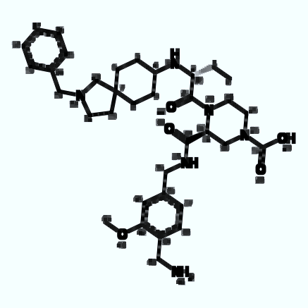 CC[C@@H](NC1CCC2(CC1)CCN(Cc1ccccc1)C2)C(=O)N1CCN(C(=O)O)C[C@H]1C(=O)NCc1ccc(CN)c(OC)c1